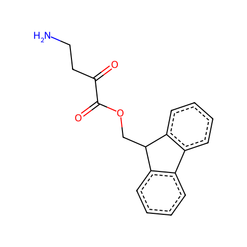 NCCC(=O)C(=O)OCC1c2ccccc2-c2ccccc21